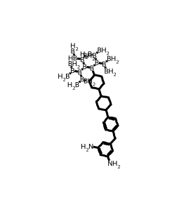 BBB(B)B(B(B(B)B)B(B)B)B(B(B(B)B)B(B)B)C1CCC(C2CCC(c3ccc(Cc4cc(N)cc(N)c4)cc3)CC2)CC1